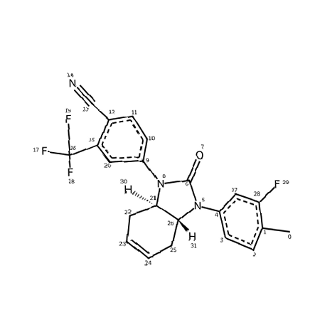 Cc1ccc(N2C(=O)N(c3ccc(C#N)c(C(F)(F)F)c3)[C@@H]3CC=CC[C@H]32)cc1F